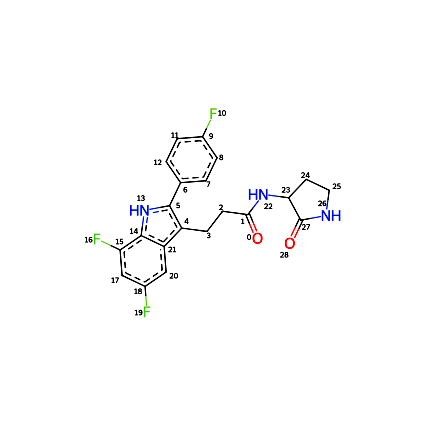 O=C(CCc1c(-c2ccc(F)cc2)[nH]c2c(F)cc(F)cc12)NC1CCNC1=O